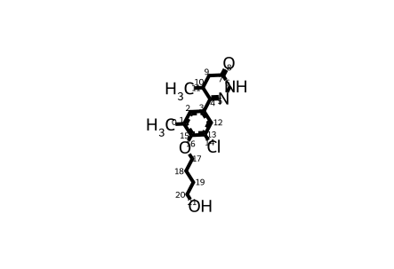 Cc1cc(C2=NNC(=O)CC2C)cc(Cl)c1OCCCCO